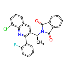 C[C@@H](c1cc2cccc(Cl)c2nc1-c1ccccc1F)N1C(=O)c2ccccc2C1=O